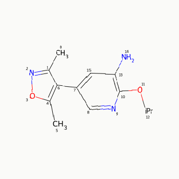 Cc1noc(C)c1-c1cnc(OC(C)C)c(N)c1